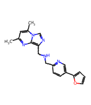 Cc1cc(C)n2cnc(CNCc3ccc(-c4ccco4)cn3)c2n1